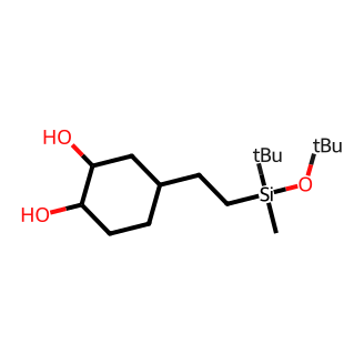 CC(C)(C)O[Si](C)(CCC1CCC(O)C(O)C1)C(C)(C)C